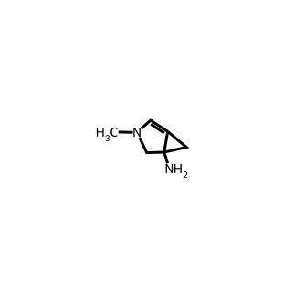 CN1C=C2CC2(N)C1